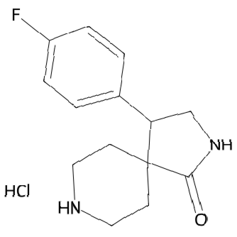 Cl.O=C1NCC(c2ccc(F)cc2)C12CCNCC2